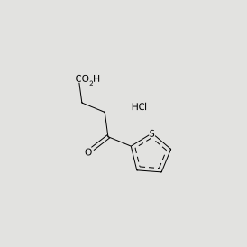 Cl.O=C(O)CCC(=O)c1cccs1